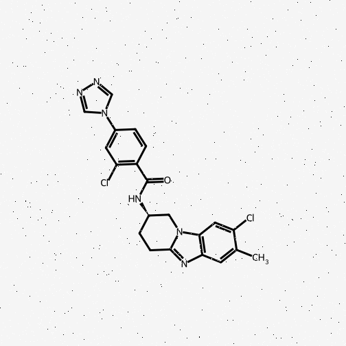 Cc1cc2nc3n(c2cc1Cl)C[C@H](NC(=O)c1ccc(-n2cnnc2)cc1Cl)CC3